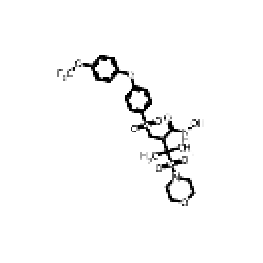 CC(C)(C(CS(=O)(=O)c1ccc(Oc2ccc(OC(F)(F)F)cc2)cc1)C(=O)NO)S(=O)(=O)N1CCOCC1